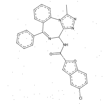 Cc1nnc2n1-c1ccccc1C(c1ccccc1)=NC2NC(=O)c1cc2cc(Cl)ccc2o1